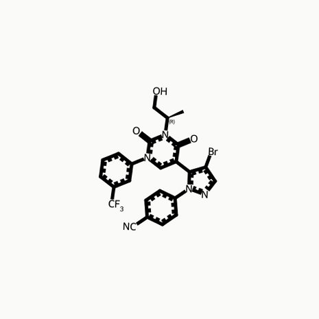 C[C@H](CO)n1c(=O)c(-c2c(Br)cnn2-c2ccc(C#N)cc2)cn(-c2cccc(C(F)(F)F)c2)c1=O